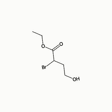 CCOC(=O)C(Br)CCO